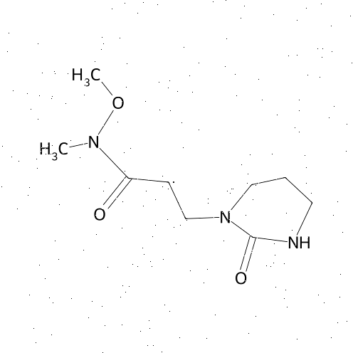 CON(C)C(=O)[CH]CN1CCCNC1=O